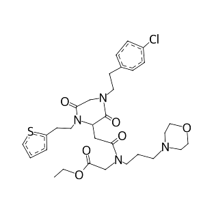 CCOC(=O)CN(CCCN1CCOCC1)C(=O)CC1C(=O)N(CCc2ccc(Cl)cc2)CC(=O)N1CCc1cccs1